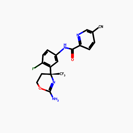 N#Cc1ccc(C(=O)Nc2ccc(F)c([C@@]3(C(F)(F)F)CCOC(N)=N3)c2)nc1